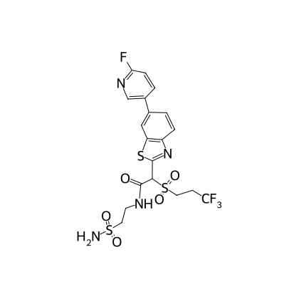 NS(=O)(=O)CCNC(=O)C(c1nc2ccc(-c3ccc(F)nc3)cc2s1)S(=O)(=O)CCC(F)(F)F